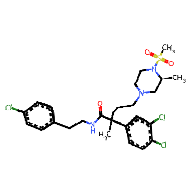 C[C@H]1CN(CCC(C)(C(=O)NCCc2ccc(Cl)cc2)c2ccc(Cl)c(Cl)c2)CCN1S(C)(=O)=O